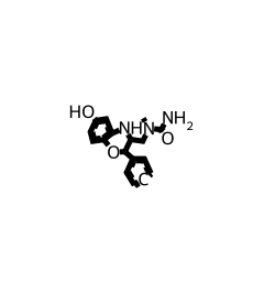 CN(CC1Nc2cc(O)ccc2OC1c1ccccc1)C(N)=O